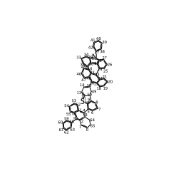 C1=Cc2c(c(-c3cccc4c3SC3=CC=C(c5c6ccccc6c(-c6cccc7c6c6ccccc6n7-c6ccccc6)c6ccccc56)CC34)c3ccccc3c2-c2ccccc2)CC1